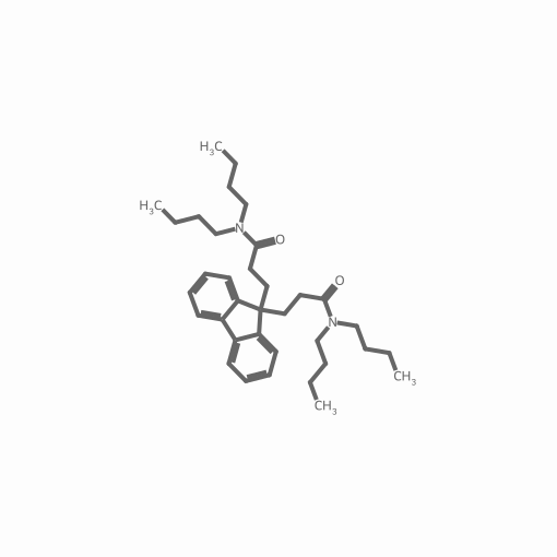 CCCCN(CCCC)C(=O)CCC1(CCC(=O)N(CCCC)CCCC)c2ccccc2-c2ccccc21